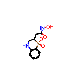 O=C(CC1CNc2ccccc2S1(=O)=O)NO